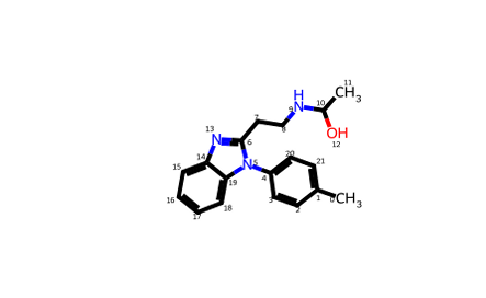 Cc1ccc(-n2c(CCNC(C)O)nc3ccccc32)cc1